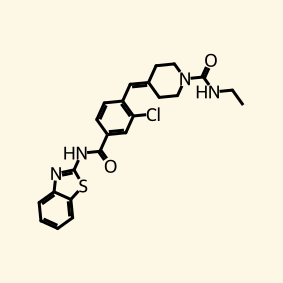 CCNC(=O)N1CCC(=Cc2ccc(C(=O)Nc3nc4ccccc4s3)cc2Cl)CC1